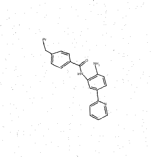 CC(C)Cc1ccc(C(=O)Nc2cc(-c3ccccn3)ccc2N)cc1